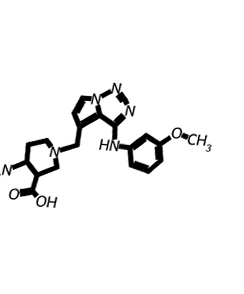 COc1cccc(Nc2ncnn3ccc(CN4CCC(N)C(C(=O)O)C4)c23)c1